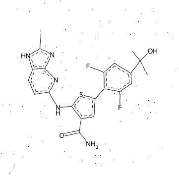 Cc1nc2nc(Nc3sc(-c4c(F)cc(C(C)(C)O)cc4F)cc3C(N)=O)ccc2[nH]1